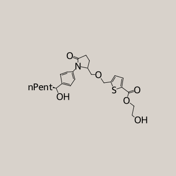 CCCCC[C@H](O)c1ccc(N2C(=O)CCC2COCc2ccc(C(=O)OCCO)s2)cc1